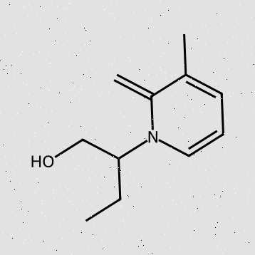 C=C1C(C)=CC=CN1C(CC)CO